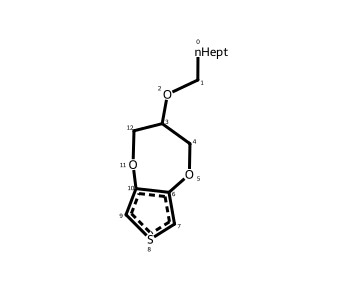 CCCCCCCCOC1COc2cscc2OC1